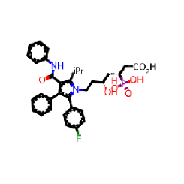 CC(C)c1c(C(=O)Nc2ccccc2)c(-c2ccccc2)c(-c2ccc(F)cc2)n1CC[C@@H](O)C[C@H](CC(=O)O)P(=O)(O)O